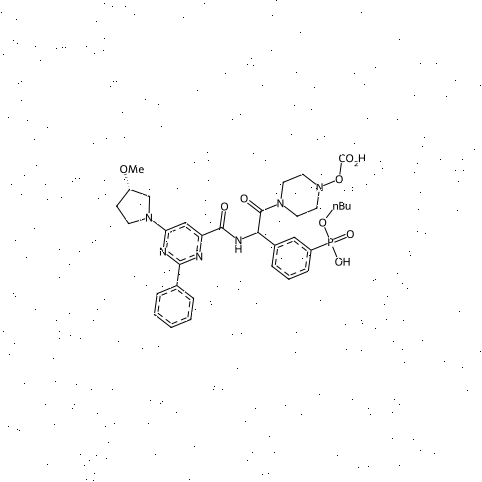 CCCCOP(=O)(O)c1cccc(C(NC(=O)c2cc(N3CC[C@H](OC)C3)nc(-c3ccccc3)n2)C(=O)N2CCN(OC(=O)O)CC2)c1